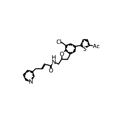 CC(=O)c1ccc(-c2cc(Cl)c3c(c2)CC(CNC(=O)C=CCc2cccnc2)O3)s1